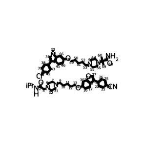 CC(C)NC(=O)CN1CCN(CCCCCOc2ccc3c(-c4ccc(C#N)cc4)coc3c2)CC1.Cn1cc(-c2ccc(Cl)cc2)c2ccc(OCCCCCN3CCN(C(C)(C)C(N)=O)CC3)cc21